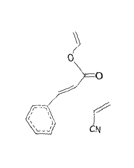 C=CC#N.C=COC(=O)C=Cc1ccccc1